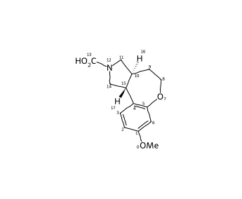 COc1ccc2c(c1)OCC[C@@H]1CN(C(=O)O)C[C@@H]21